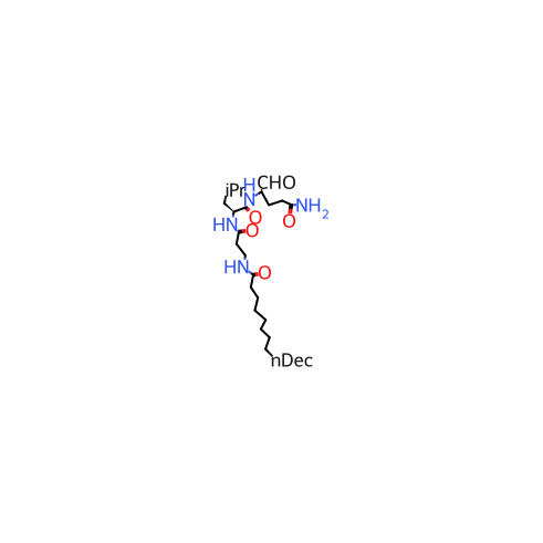 CCCCCCCCCCCCCCCCCC(=O)NCCC(=O)N[C@@H](CC(C)C)C(=O)N[C@H](C=O)CCC(N)=O